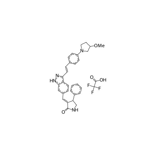 COC1CCN(c2ccc(C=Cc3n[nH]c4cc(/C=C5/C(=O)NCC5c5ccccc5)ccc34)cc2)C1.O=C(O)C(F)(F)F